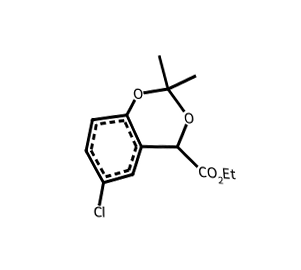 CCOC(=O)C1OC(C)(C)Oc2ccc(Cl)cc21